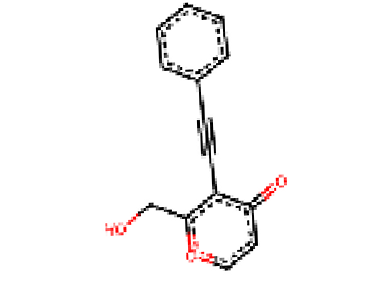 O=c1ccoc(CO)c1C#Cc1ccccc1